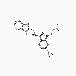 CN(C)CCn1nc(NCc2nc3ccccc3[nH]2)c2ncc(C3CC3)nc21